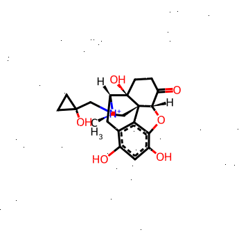 C[N@+]1(CC2(O)CC2)CC[C@]23c4c5c(O)cc(O)c4O[C@H]2C(=O)CC[C@@]3(O)[C@H]1C5